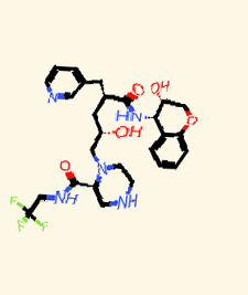 O=C(N[C@H]1c2ccccc2OC[C@H]1O)[C@H](Cc1cccnc1)C[C@H](O)CN1CCNC[C@H]1C(=O)NCC(F)(F)F